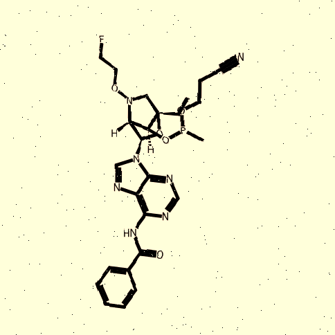 CC[C@@]12CN(OCCF)[C@@H]([C@H](n3cnc4c(NC(=O)c5ccccc5)ncnc43)O1)[C@@H]2OP(C)OCCC#N